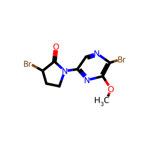 COc1nc(N2CCC(Br)C2=O)cnc1Br